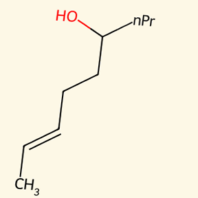 C/C=C/CCC(O)CCC